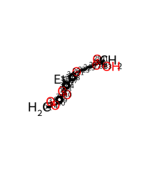 C=CC(=O)Oc1ccc(C(=O)Oc2ccc(-c3ccc(OCCCCCCOC(=O)C(=C)CO)cc3)c(CC)c2)cc1